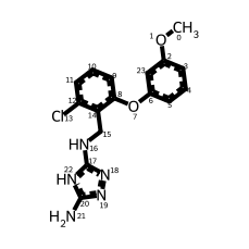 COc1cccc(Oc2cccc(Cl)c2CNc2nnc(N)[nH]2)c1